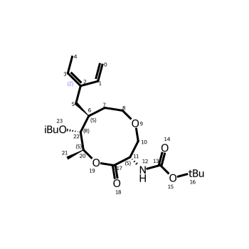 C=C/C(=C\C)C[C@H]1CCOC[C@H](NC(=O)OC(C)(C)C)C(=O)O[C@@H](C)[C@@H]1OCC(C)C